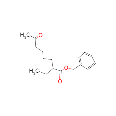 CCC(CCCCC(C)=O)C(=O)OCc1ccccc1